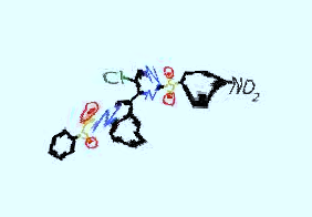 O=[N+]([O-])c1ccc(S(=O)(=O)c2ncc(Cl)c(-c3cn(S(=O)(=O)c4ccccc4)c4ccccc34)n2)cc1